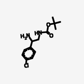 CC(C)(C)OC(=O)NCC(N)c1ccc(Cl)cc1